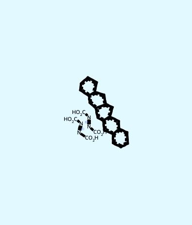 O=C(O)/N=N/C(=O)O.O=C(O)/N=N/C(=O)O.c1ccc2cc3cc4cc5ccccc5cc4cc3cc2c1